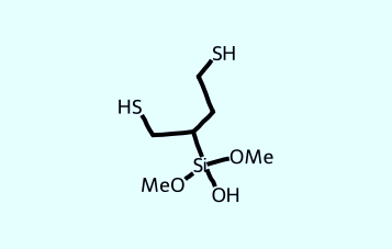 CO[Si](O)(OC)C(CS)CCS